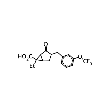 CCC1(C(=O)O)C2CC(Cc3cccc(OC(F)(F)F)c3)C(=O)C21